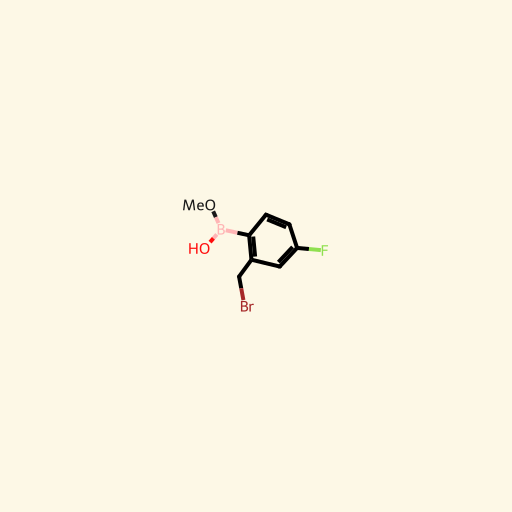 COB(O)c1ccc(F)cc1CBr